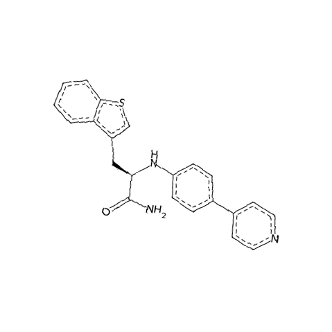 NC(=O)[C@@H](Cc1csc2ccccc12)Nc1ccc(-c2ccncc2)cc1